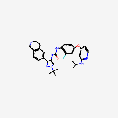 CC(C)Nc1cc(Oc2ccc(NC(=O)Nc3cn(C(C)(C)C)nc3-c3ccc4c(c3)CCNC4)c(F)c2)ccn1